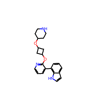 c1cnc(OC2CC(OC3CCNCC3)C2)c(-c2cccc3cc[nH]c23)c1